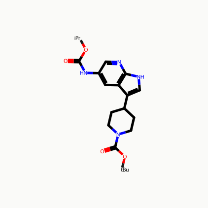 CC(C)OC(=O)Nc1cnc2[nH]cc(C3CCN(C(=O)OC(C)(C)C)CC3)c2c1